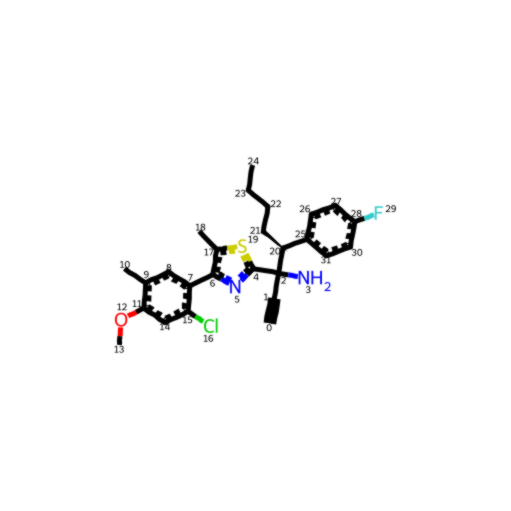 C#CC(N)(c1nc(-c2cc(C)c(OC)cc2Cl)c(C)s1)[C@@H](CCCC)c1ccc(F)cc1